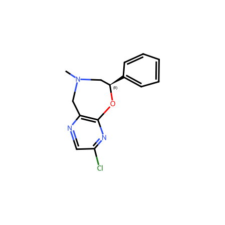 CN1Cc2ncc(Cl)nc2O[C@H](c2ccccc2)C1